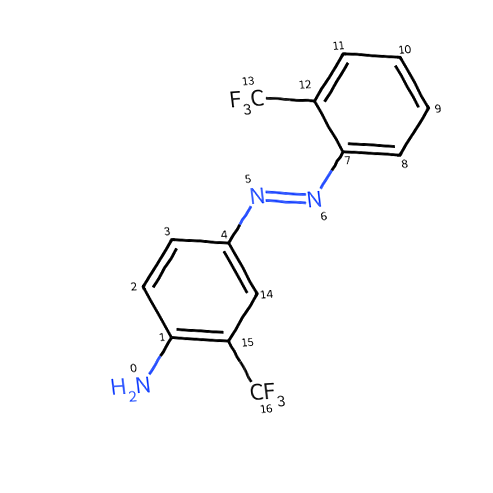 Nc1ccc(N=Nc2ccccc2C(F)(F)F)cc1C(F)(F)F